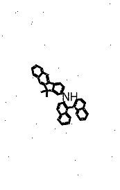 CC1(C)c2cc(Nc3ccc4ccccc4c3-c3cccc4ccccc34)ccc2-c2cc3ccccc3cc21